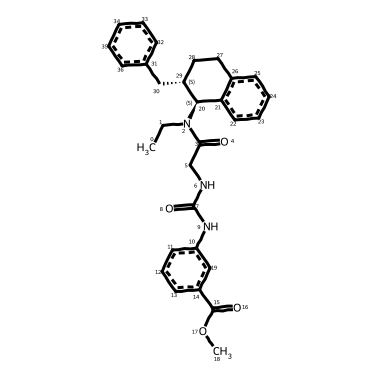 CCN(C(=O)CNC(=O)Nc1cccc(C(=O)OC)c1)[C@@H]1c2ccccc2CC[C@H]1Cc1ccccc1